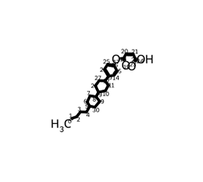 CCCCCC1CCC(C2CCC(c3ccc(OC(=O)/C=C\C(=O)O)cc3)CC2)CC1